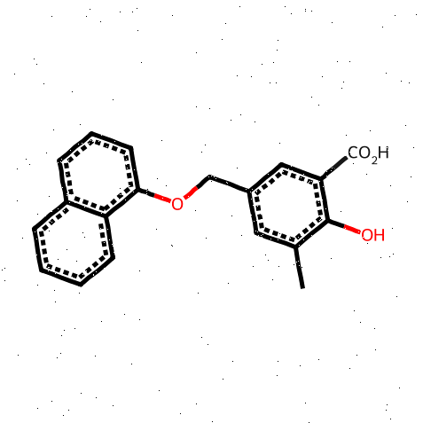 Cc1cc(COc2cccc3ccccc23)cc(C(=O)O)c1O